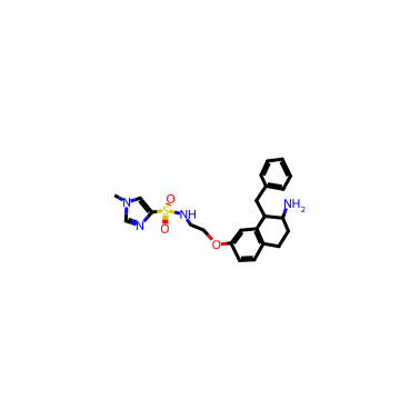 Cn1cnc(S(=O)(=O)NCCOc2ccc3c(c2)C(Cc2ccccc2)C(N)CC3)c1